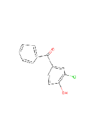 O=C(c1ccccc1)c1ccc(O)c(Cl)c1